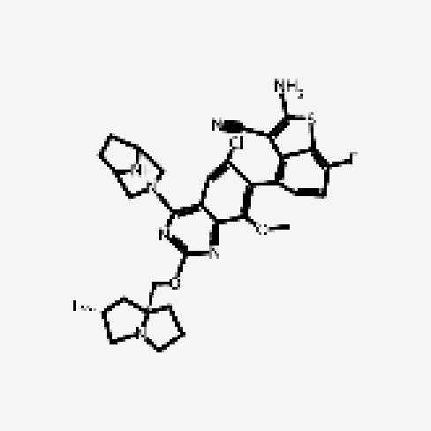 COc1c(-c2ccc(F)c3sc(N)c(C#N)c23)c(Cl)cc2c(N3CC4CCC(C3)N4)nc(OC[C@@]34CCCN3C[C@H](F)C4)nc12